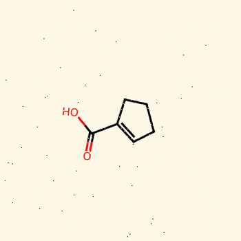 O=C(O)C1=[C]CCC1